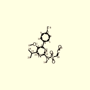 COc1c(-c2ccc(F)cc2)nc(N(C)S(=O)(=O)C=C=O)nc1C(C)C